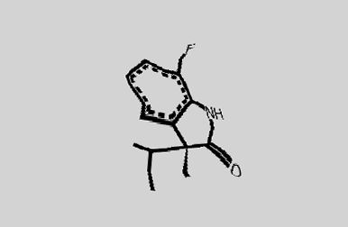 CC(C)[C@@]1(C)C(=O)Nc2c(F)cccc21